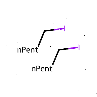 CCCCCCI.CCCCCCI